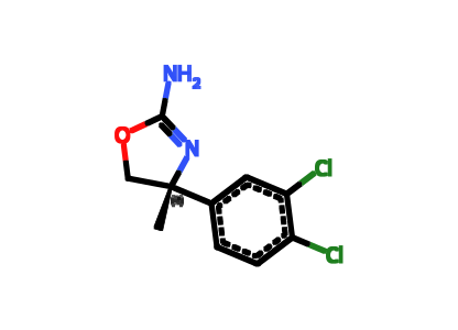 C[C@@]1(c2ccc(Cl)c(Cl)c2)COC(N)=N1